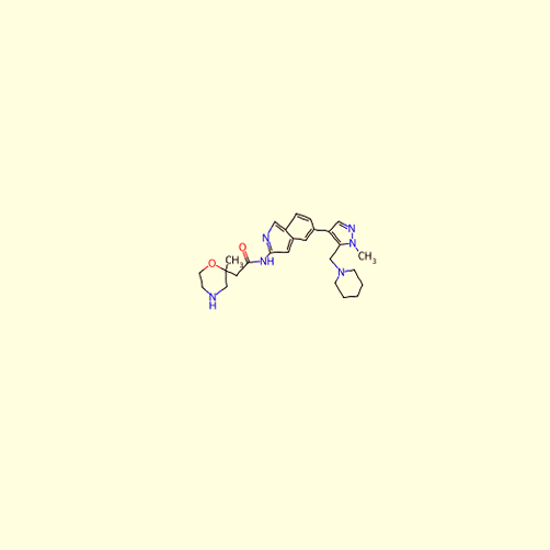 Cn1ncc(-c2ccc3cnc(NC(=O)CC4(C)CNCCO4)cc3c2)c1CN1CCCCC1